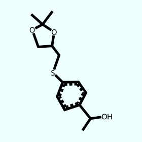 CC(O)c1ccc(SCC2COC(C)(C)O2)cc1